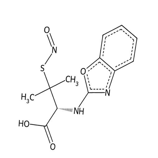 CC(C)(SN=O)[C@H](Nc1nc2ccccc2o1)C(=O)O